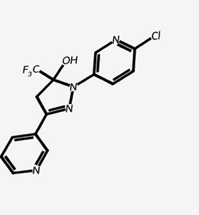 OC1(C(F)(F)F)CC(c2cccnc2)=NN1c1ccc(Cl)nc1